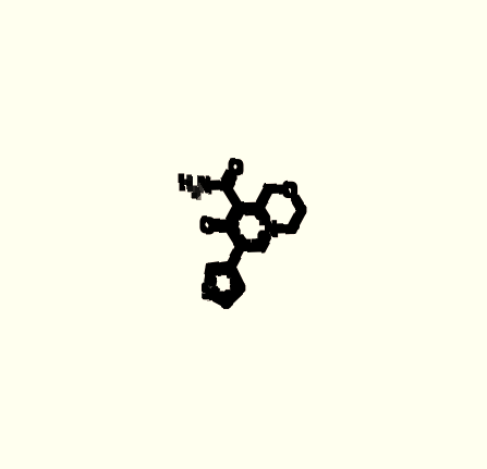 NC(=O)c1c2n(cc(-c3ccsc3)c1=O)CCOC2